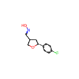 ON=CC1COC(c2ccc(Cl)cc2)C1